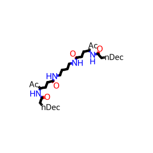 CCCCCCCCCCCC(=O)NC(CCC(=O)NCCCCNC(=O)CCC(NC(=O)CCCCCCCCCCC)C(C)=O)C(C)=O